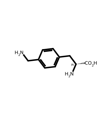 NCc1ccc(C[C@@H](N)C(=O)O)cc1